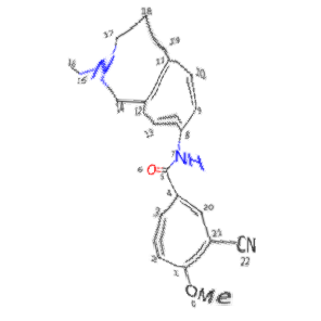 COc1ccc(C(=O)Nc2ccc3c(c2)CN(C)CCC3)cc1C#N